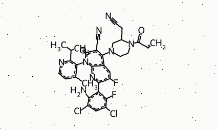 C=CC(=O)N1CCN(c2c(C#N)c(=O)n(-c3c(C)ccnc3C(C)C)c3nc(-c4c(N)c(Cl)cc(Cl)c4F)c(F)cc23)CC1CC#N